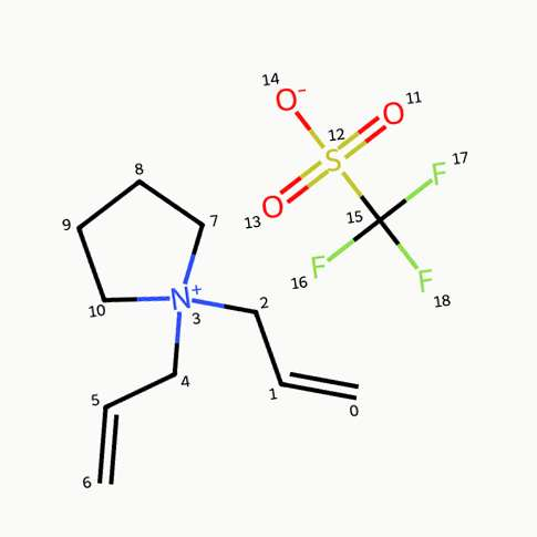 C=CC[N+]1(CC=C)CCCC1.O=S(=O)([O-])C(F)(F)F